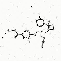 COC(=O)c1ccc(OC[C@@]2(CN=[N+]=[N-])C[C@@H]3CC[C@@H]3c3cc(Cl)ccc32)c(F)n1